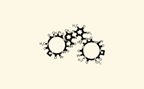 Cc1c2oc3c(C)ccc(C(=O)NC4C(=O)NC(C(C)C)C(=O)N5CCC5C(=O)N(C)CC(=O)N(C)C(C(C)C)C(=O)OC4C)c3nc-2c(C(=O)NC2C(=O)NC(C(C)C)C(=O)N3CCC3C(=O)N(C)CC(=O)N(C)C(C(C)C)C(=O)OC2C)c(N)c1=O